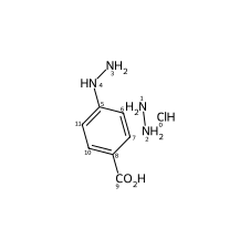 Cl.NN.NNc1ccc(C(=O)O)cc1